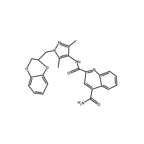 Cc1nn(CC2COc3ccccc3O2)c(C)c1NC(=O)c1cc(C(N)=O)c2ccccc2n1